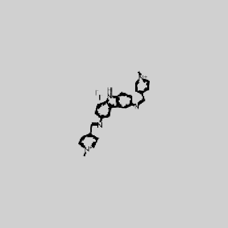 C[n+]1ccc(/C=N\c2ccc3[nH]c4ccc(/N=C/c5cc[n+](C)cc5)cc4c3c2)cc1.[I-].[I-]